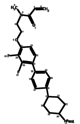 C=CC(=O)N(C)CCOc1ccc(-c2ccc(C3CCC(CCCCC)CC3)cc2)c(F)c1F